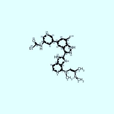 C=N/C(C)=C\N(C)c1nccc2[nH]c(-c3n[nH]c4c(F)cc(-c5cncc(NC(=O)CC)c5)cc34)nc12